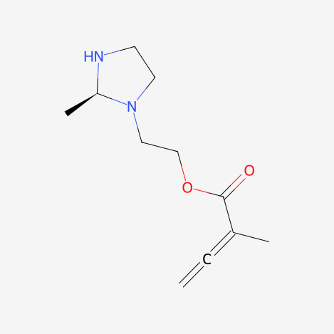 C=C=C(C)C(=O)OCCN1CCN[C@@H]1C